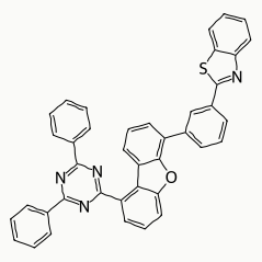 c1ccc(-c2nc(-c3ccccc3)nc(-c3cccc4oc5c(-c6cccc(-c7nc8ccccc8s7)c6)cccc5c34)n2)cc1